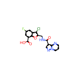 O=C(O)c1cc(F)cc2c(Cl)c(CNC(=O)c3cnn4cccnc34)oc12